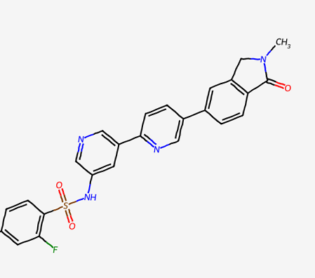 CN1Cc2cc(-c3ccc(-c4cncc(NS(=O)(=O)c5ccc(F)cc5F)c4)nc3)ccc2C1=O